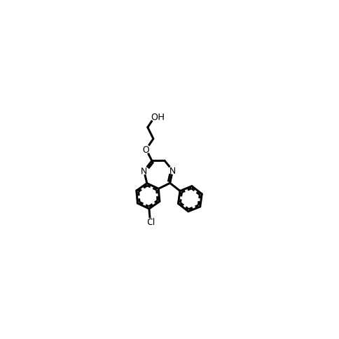 OCCOC1=Nc2ccc(Cl)cc2C(c2ccccc2)=NC1